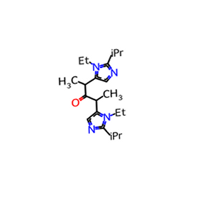 CCn1c(C(C)C(=O)C(C)c2cnc(C(C)C)n2CC)cnc1C(C)C